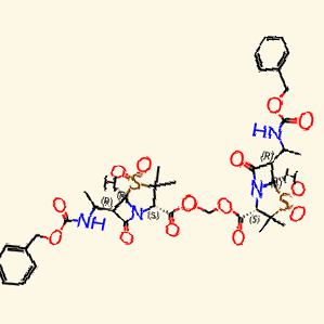 CC(NC(=O)OCc1ccccc1)[C@@H]1C(=O)N2[C@@H](C(=O)OCOC(=O)[C@@H]3N4C(=O)[C@@H](C(C)NC(=O)OCc5ccccc5)[C@H]4S(=O)(=O)C3(C)C)C(C)(C)S(=O)(=O)[C@H]12